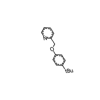 CC(C)(C)c1ccc(OCc2ccccn2)cc1